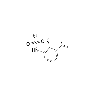 C=C(C)c1cccc(NS(=O)(=O)CC)c1Cl